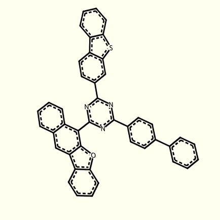 c1ccc(-c2ccc(-c3nc(-c4ccc5c(c4)sc4ccccc45)nc(-c4c5ccccc5cc5c4oc4ccccc45)n3)cc2)cc1